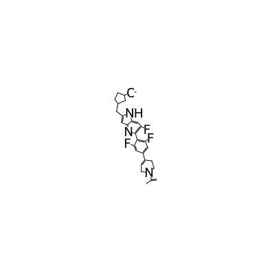 C=C(C)N1CC=C(c2cc(F)c(-c3nc4cc(CC5CCC(CC)C5)[nH]c4cc3F)c(F)c2)CC1